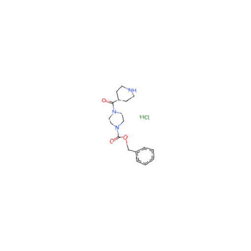 Cl.O=C(OCc1ccccc1)N1CCN(C(=O)C2CCNCC2)CC1